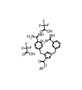 CC(C)OC(=O)c1cn(Cc2cccc(C(=N)N)c2)cc1Cc1ccc(C(=N)N)cc1.O=C(O)C(F)(F)F.O=C(O)C(F)(F)F